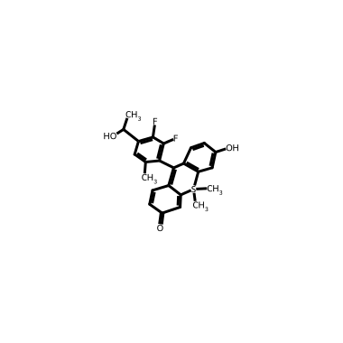 Cc1cc(C(C)O)c(F)c(F)c1C1=C2C=CC(=O)C=C2S(C)(C)c2cc(O)ccc21